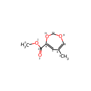 COC(=O)C1=CC(C)=COCO1